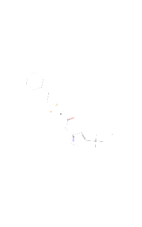 CC(C)(CO)c1cc(NC(=O)C(C)(C)S(=O)(=O)CCC2CCOCC2)no1